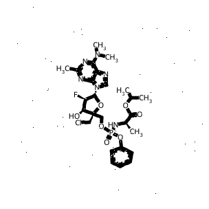 Cc1nc(N(C)C)c2ncn([C@@H]3O[C@](CCl)(COP(=O)(N[C@H](C)C(=O)OC(C)C)Oc4ccccc4)[C@@H](O)[C@H]3F)c2n1